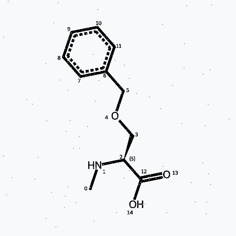 CN[C@@H](COCc1ccccc1)C(=O)O